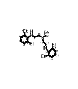 CCc1cccc(CC)c1NCCN(C)CCNc1c(CC)cccc1CC.[Fe]